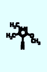 COc1nn(C)c(C)c1C#N